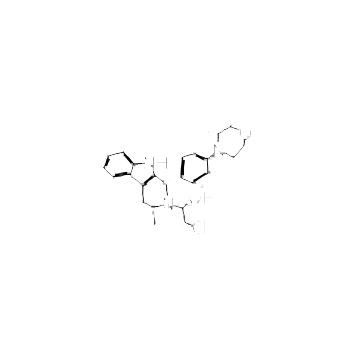 C[C@H]1Cc2c([nH]c3ccccc23)[C@H](c2ccc(N3CCOCC3)cc2)N1C(O)CCl